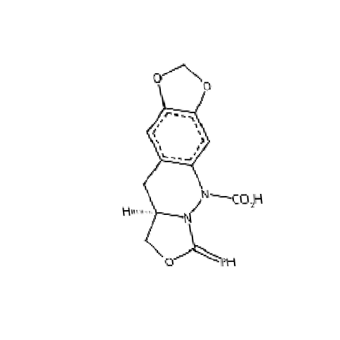 O=C(O)N1c2cc3c(cc2C[C@@H]2COC(=P)N21)OCO3